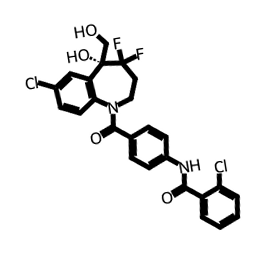 O=C(Nc1ccc(C(=O)N2CCC(F)(F)[C@](O)(CO)c3cc(Cl)ccc32)cc1)c1ccccc1Cl